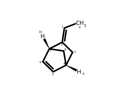 C/C=C1\C[C@@H]2C=C[C@H]1C2